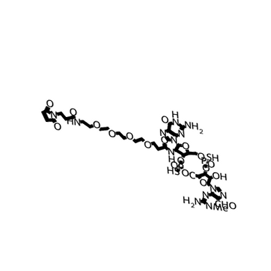 CN/C(N)=N\c1c(C=O)ncn1C1OC2COP(=O)(S)OC3C(COP(=O)(S)OC2C1O)OC(n1cnc2c(=O)[nH]c(N)nc21)C3NC(=O)CCOCCOCCOCCOCCNC(=O)CCN1C(=O)C=CC1=O